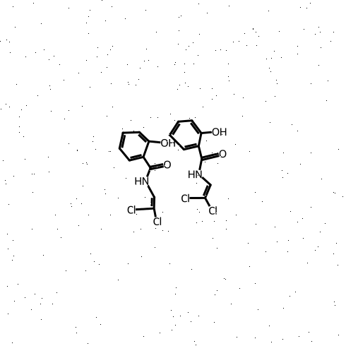 O=C(NC=C(Cl)Cl)c1ccccc1O.O=C(NC=C(Cl)Cl)c1ccccc1O